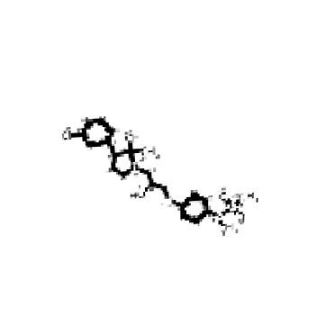 CN(c1ccc(OC[C@@H](O)CN2CCC(c3cccc(Cl)c3)C2(C)C)cc1)S(C)(=O)=O